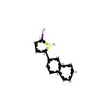 Ic1ccc(-c2ccc3ccccc3c2)s1